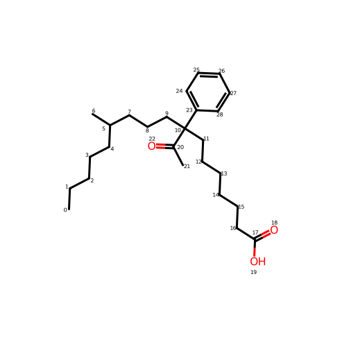 CCCCCC(C)CCCC(CCCCCCC(=O)O)(C(C)=O)c1ccccc1